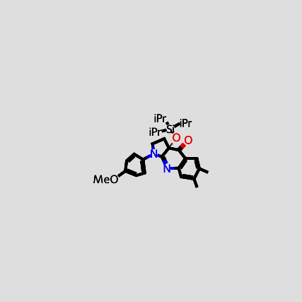 COc1ccc(N2CC[C@@]3(O[Si](C(C)C)(C(C)C)C(C)C)C(=O)c4cc(C)c(C)cc4N=C23)cc1